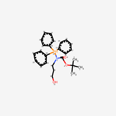 CC(C)(C)OC(=O)N(CCCO)[PH](c1ccccc1)(c1ccccc1)c1ccccc1